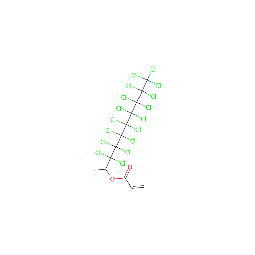 C=CC(=O)OC(C)C(Cl)(Cl)C(Cl)(Cl)C(Cl)(Cl)C(Cl)(Cl)C(Cl)(Cl)C(Cl)(Cl)C(Cl)(Cl)C(Cl)(Cl)Cl